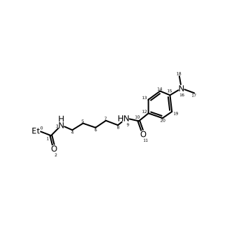 CCC(=O)NCCCCCNC(=O)c1ccc(N(C)C)cc1